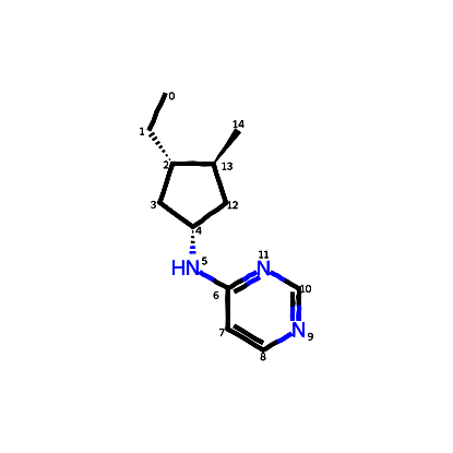 CC[C@H]1C[C@@H](Nc2ccncn2)C[C@@H]1C